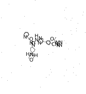 C[C@@H](Cn1cnnn1)Oc1cc(-c2cnc(Nc3cn([C@H]4CC[C@H](N5[C@@H]6CC[C@H]5COC6)CC4)nc3OCc3ccccn3)nc2)ccc1C#N